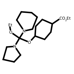 CCOC(=O)C1CCC(OC(OCC)(N2CCCCC2)N2CCCC2)CC1